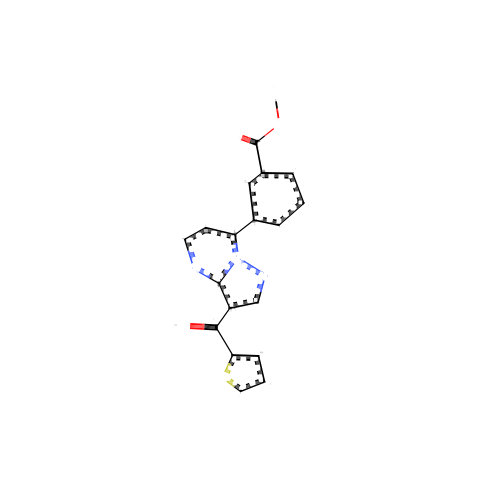 COC(=O)c1cccc(-c2ccnc3c(C(=O)c4cccs4)cnn23)c1